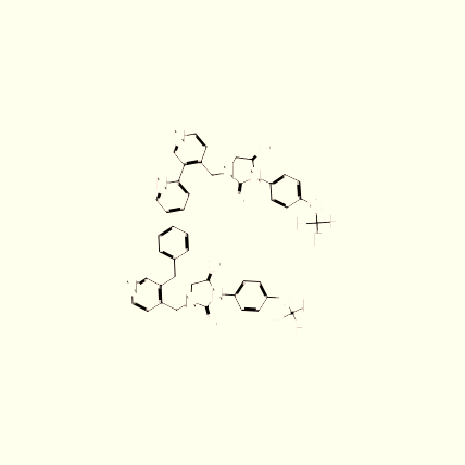 O=C1CN(Cc2ccncc2-c2ccccn2)C(=O)N1c1ccc(OC(F)(F)F)cc1.O=C1CN(Cc2ccncc2Cc2ccccc2)C(=O)N1c1ccc(OC(F)(F)F)cc1